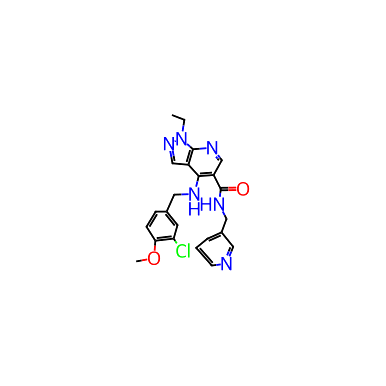 CCn1ncc2c(NCc3ccc(OC)c(Cl)c3)c(C(=O)NCc3cccnc3)cnc21